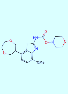 COc1ccc(C2COCCOC2)c2sc(NC(=O)ON3CCOCC3)nc12